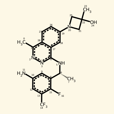 Cc1nnc(N[C@H](C)c2cc(N)cc(C(F)(F)F)c2F)c2cc(N3CC(C)(O)C3)ccc12